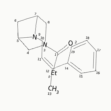 CCC(=O)N1CC2CC(C1)N2CC=C(C)c1ccccc1